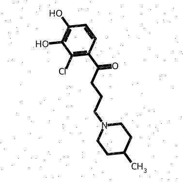 CC1CCN(CCCC(=O)c2ccc(O)c(O)c2Cl)CC1